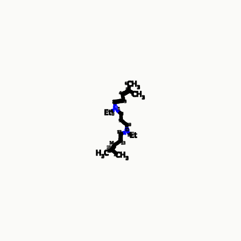 CCN(/C=C/C=C(C)C)CCCN(/C=C/C=C(C)C)CC